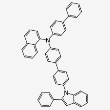 c1ccc(-c2ccc(N(c3ccc(-c4ccc(-n5c(-c6ccccc6)cc6ccccc65)cc4)cc3)c3cccc4ccccc34)cc2)cc1